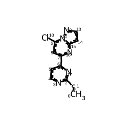 CSc1nccc(-c2cc(Cl)n3nccc3n2)n1